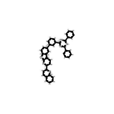 c1ccc(-c2nc(-c3ccccc3)nc(-c3cccc(-c4ccc5oc6nc(-c7ccc8ccccc8n7)ccc6c5c4)c3)n2)cc1